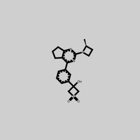 C[C@H]1CCN1c1nc2c(c(-c3cccc(C4(O)CS(=O)(=O)C4)c3)n1)CCC2